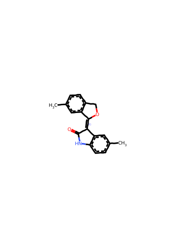 Cc1ccc2c(c1)/C(=C1\C(=O)Nc3ccc(C)cc31)OC2